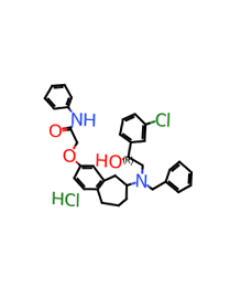 Cl.O=C(COc1ccc2c(c1)CC(N(Cc1ccccc1)C[C@H](O)c1cccc(Cl)c1)CCC2)Nc1ccccc1